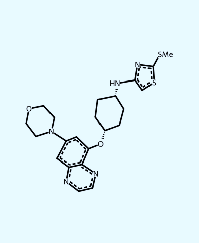 CSc1nc(N[C@H]2CC[C@@H](Oc3cc(N4CCOCC4)cc4nccnc34)CC2)cs1